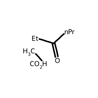 CC(=O)O.CCCC(=O)CC